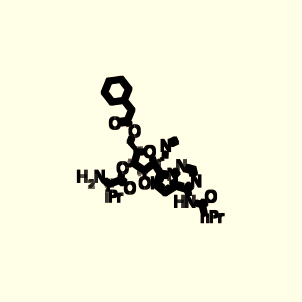 C=NC[C@@]1(c2ccc3c(NC(=O)CCC)ncnn23)O[C@H](COC(=O)CC2CCCCC2)[C@@H](OC(=O)[C@@H](N)C(C)C)[C@H]1O